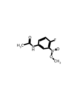 CO[N+](=O)c1cc(NC(C)=O)ccc1F